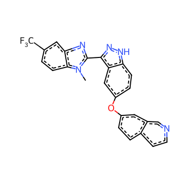 Cn1c(-c2n[nH]c3ccc(Oc4ccc5ccncc5c4)cc23)nc2cc(C(F)(F)F)ccc21